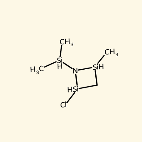 C[SiH](C)N1[SiH](C)C[SiH]1Cl